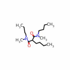 CCCCC(C(=O)N(C)CCCC)C(=O)N(C)CCCC